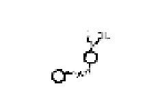 CCN(CC)C1CCC(N=C=NOC2CCCCC2)CC1